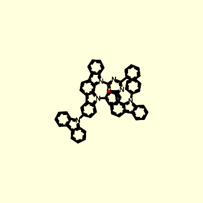 c1ccc(-c2nc(-c3cccc4c5ccccc5n(-c5ccccc5)c34)nc(-n3c4ccccc4c4ccc5c6cc(-n7c8ccccc8c8ccccc87)ccc6n(-c6ccccc6)c5c43)n2)cc1